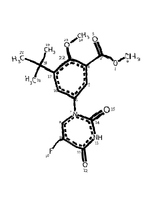 COC(=O)c1cc(-n2cc(F)c(=O)[nH]c2=O)cc(C(C)(C)C)c1OC